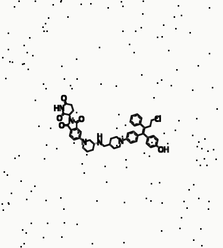 O=C1CCC(N2C(=O)c3ccc(N4CCC[C@@H](NCC5CCN(c6ccc(C(=C(CCCl)c7ccccc7)c7ccc(O)cc7)cc6)CC5)C4)cc3C2=O)C(=O)N1